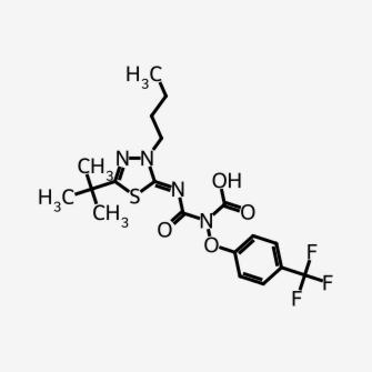 CCCCn1nc(C(C)(C)C)sc1=NC(=O)N(Oc1ccc(C(F)(F)F)cc1)C(=O)O